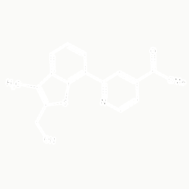 COC(=O)c1ccnc(-c2cccc3c(C)c(CO)sc23)c1